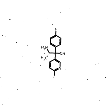 C[C@H](N)C(O)(c1ccc(F)cc1)c1ccc(F)nc1